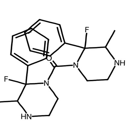 CC1NCCN(C(=O)N2CCNC(C)C2(F)c2ccccc2)C1(F)c1ccccc1